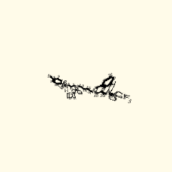 Cc1ccc(S(=O)(=O)NCCCN(CCCCN(CCCNC(=O)C(F)(F)F)Cc2ccccc2)C(=O)OC(C)(C)C)cc1